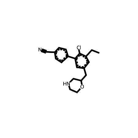 CCc1cc(CC2CNCCO2)cc(-c2ccc(C#N)cc2)c1Cl